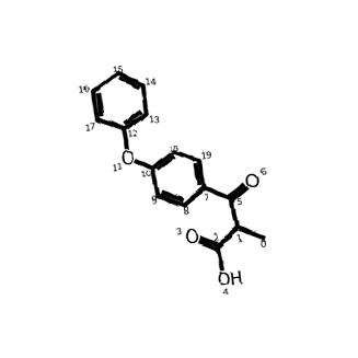 CC(C(=O)O)C(=O)c1ccc(Oc2ccccc2)cc1